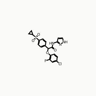 O=C(Nc1cc[nH]n1)C(Oc1ccc(Cl)cc1F)c1ccc(S(=O)(=O)C2CC2)cc1